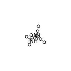 C1=C(c2ccccc2)c2c(cc(-c3nc(-c4ccc(-c5ccccc5)cc4)nc(-c4ccc(-c5ccccc5)cc4)n3)c3ccccc23)NC1c1ccccc1